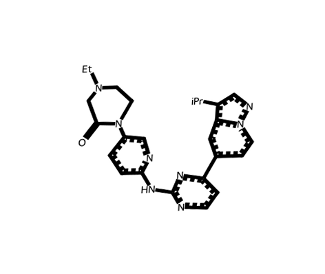 CCN1CCN(c2ccc(Nc3nccc(-c4ccn5ncc(C(C)C)c5c4)n3)nc2)C(=O)C1